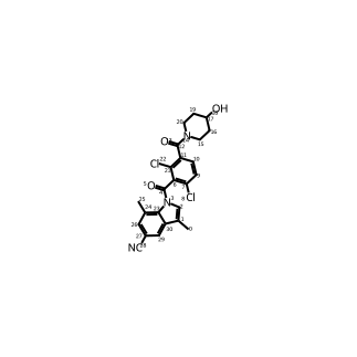 Cc1cn(C(=O)c2c(Cl)ccc(C(=O)N3CCC(O)CC3)c2Cl)c2c(C)cc(C#N)cc12